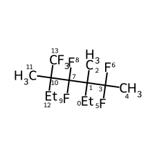 CCC(C)(C(C)(F)F)C(F)(F)C(C)(CC)C(F)(F)F